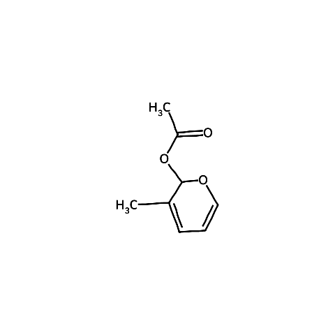 CC(=O)OC1OC=CC=C1C